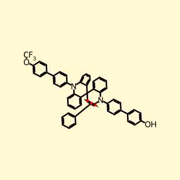 Oc1ccc(-c2ccc(N3c4ccccc4C4(c5ccccc5N(c5ccc(-c6ccc(OC(F)(F)F)cc6)cc5)c5ccccc54)c4cc(-c5ccccc5)ccc43)cc2)cc1